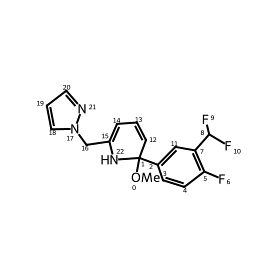 COC1(c2ccc(F)c(C(F)F)c2)C=CC=C(Cn2cccn2)N1